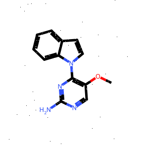 COc1cnc(N)nc1-n1ccc2ccccc21